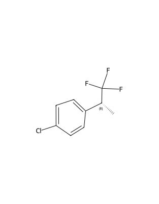 C[C@H](c1ccc(Cl)cc1)C(F)(F)F